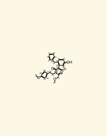 COCc1nc2sc3c(O)ccc(Cc4ccccc4)c3c2c(=O)n1CCc1ccc(OC)cc1